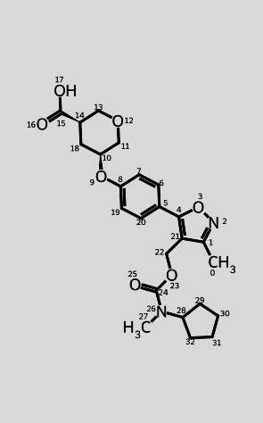 Cc1noc(-c2ccc(O[C@@H]3COC[C@H](C(=O)O)C3)cc2)c1COC(=O)N(C)C1CCCC1